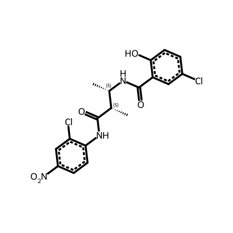 C[C@H](NC(=O)c1cc(Cl)ccc1O)[C@H](C)C(=O)Nc1ccc([N+](=O)[O-])cc1Cl